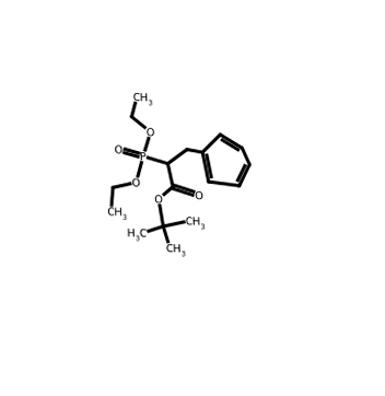 CCOP(=O)(OCC)C(Cc1ccccc1)C(=O)OC(C)(C)C